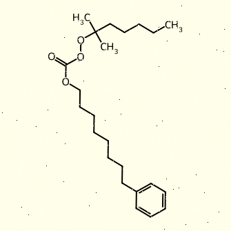 CCCCCC(C)(C)OOC(=O)OCCCCCCCCc1ccccc1